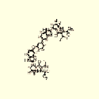 COC(=O)N[C@H](C(=O)N1[C@@H]2C[C@@H]2C[C@H]1c1nc2cc(Oc3cccc(-c4ccc5[nH]c([C@@H]6C[C@H]7C[C@H]7N6C(=O)[C@@H](NC(=O)OC)C(C)C)nc5c4)c3)ccc2[nH]1)C(C)C